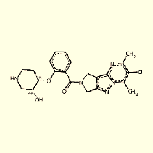 Cc1nc2c3c(nn2c(C)c1Cl)CN(C(=O)c1ccccc1O[C@H]1CCNC[C@H]1O)C3